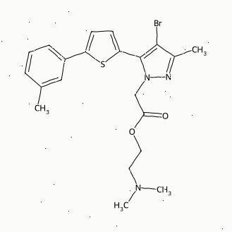 Cc1cccc(-c2ccc(-c3c(Br)c(C)nn3CC(=O)OCCN(C)C)s2)c1